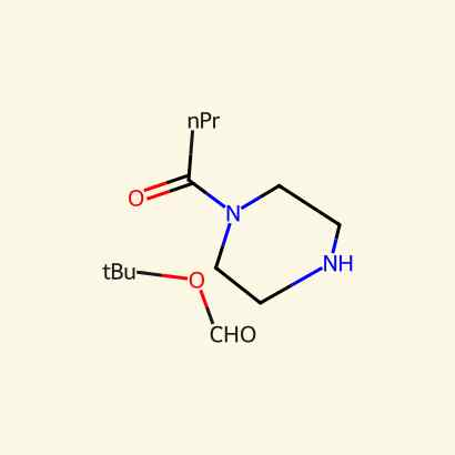 CC(C)(C)OC=O.CCCC(=O)N1CCNCC1